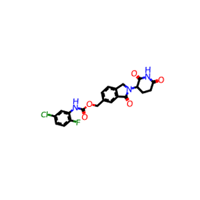 O=C1CCC(N2Cc3ccc(COC(=O)Nc4cc(Cl)ccc4F)cc3C2=O)C(=O)N1